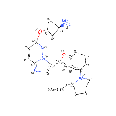 COC[C@H]1CCCN1c1cccc2oc(-c3cnc4ccc(O[C@H]5C[C@H](N)C5)nn34)cc12